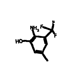 Cc1cc(O)c(N)c(C(F)(F)F)c1